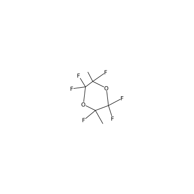 CC1(F)OC(F)(F)C(C)(F)OC1(F)F